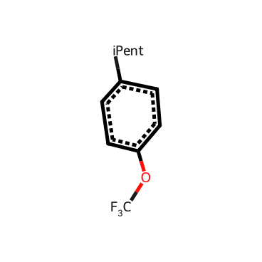 [CH2]CCC(C)c1ccc(OC(F)(F)F)cc1